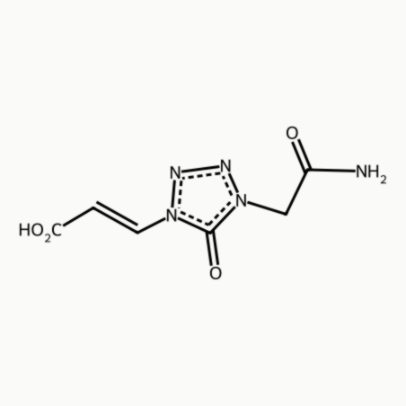 NC(=O)Cn1nnn(C=CC(=O)O)c1=O